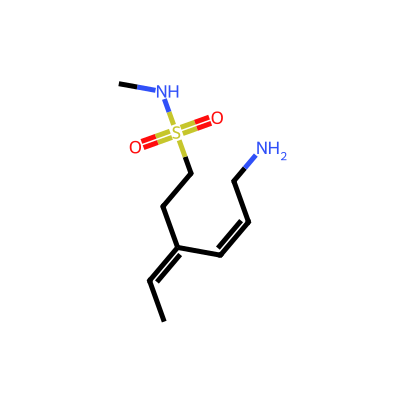 C/C=C(\C=C/CN)CCS(=O)(=O)NC